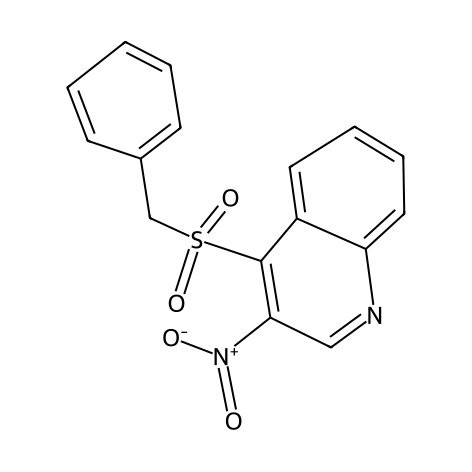 O=[N+]([O-])c1cnc2ccccc2c1S(=O)(=O)Cc1ccccc1